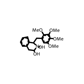 COc1cc(CC2c3ccccc3CC(O)N2O)c(OC)c(OC)c1OC